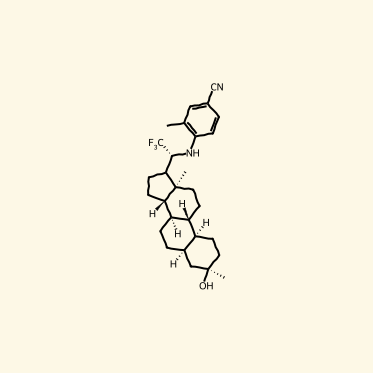 Cc1cc(C#N)ccc1N[C@H](C1CC[C@H]2[C@@H]3CC[C@@H]4C[C@](C)(O)CC[C@@H]4[C@H]3CC[C@]12C)C(F)(F)F